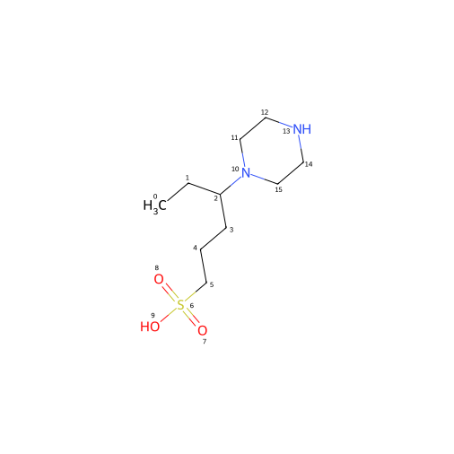 CCC(CCCS(=O)(=O)O)N1CCNCC1